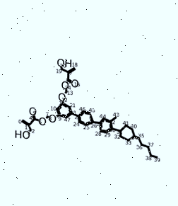 C=C(CO)C(=O)OCOc1cc(OCOC(=O)C(=C)CO)cc(-c2ccc(-c3ccc(C4CCC(CCCCC)CC4)c(C)c3)cc2)c1